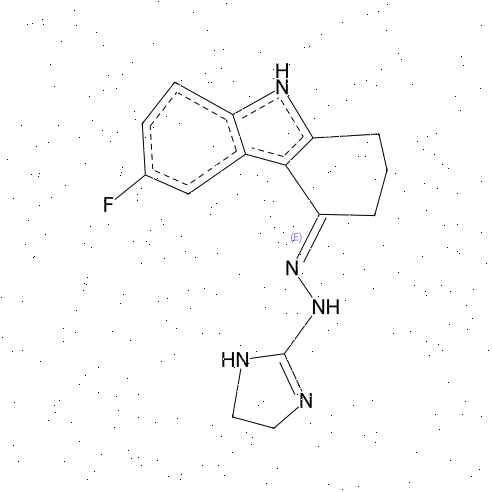 Fc1ccc2[nH]c3c(c2c1)/C(=N/NC1=NCCN1)CCC3